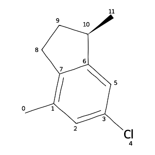 Cc1cc(Cl)cc2c1CC[C@H]2C